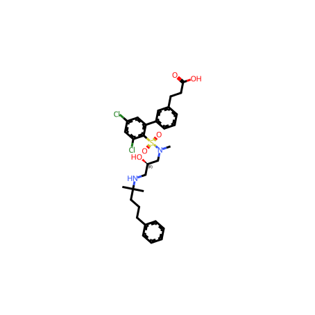 CN(C[C@H](O)CNC(C)(C)CCCc1ccccc1)S(=O)(=O)c1c(Cl)cc(Cl)cc1-c1cccc(CCC(=O)O)c1